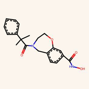 CC(C)(C(=O)N1CCOc2cc(C(=O)NO)ccc2C1)c1ccccc1